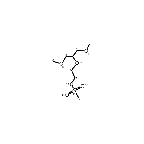 COCC(COC)OCCOS(C)(=O)=O